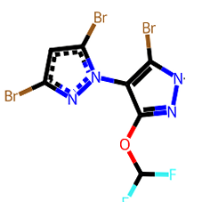 FC(F)OC1=N[N]C(Br)=C1n1nc(Br)cc1Br